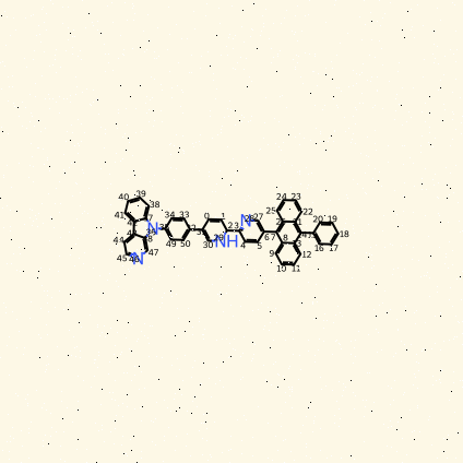 C1=CC(c2ccc(-c3c4ccccc4c(-c4ccccc4)c4ccccc34)cn2)NC=C1c1ccc(-n2c3ccccc3c3ccncc32)cc1